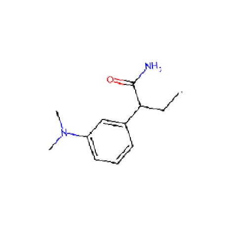 [CH2]CC(C(N)=O)c1cccc(N(C)C)c1